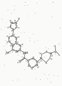 [2H]c1nc(NC(=O)c2ccnc(N3CCN(C(C)C)CC3)c2)cc2cc(-c3cnn(C)c3)ccc12